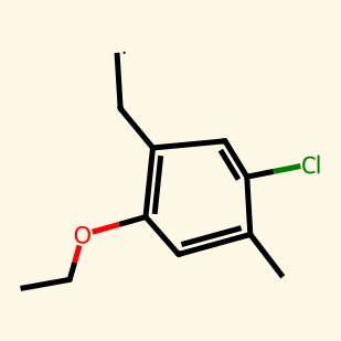 [CH2]Cc1cc(Cl)c(C)cc1OCC